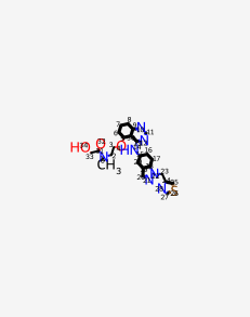 CN(CCOc1cccc2ncnc(Nc3ccc4c(cnn4Cc4cscn4)c3)c12)C(=O)CO